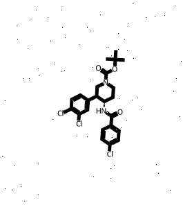 CC(C)(C)OC(=O)N1CC[C@H](NC(=O)c2ccc(Cl)cc2)C(c2ccc(Cl)c(Cl)c2)C1